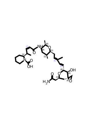 CC(/C=C/[C@H]1O[C@H](CC(N)=O)C[C@@]2(CO2)[C@@H]1O)=C\C[C@@H]1O[C@H](C)[C@H](NC(=O)/C=C\C(C)[C@@H]2CCCCN2C(=O)O)C[C@@H]1C